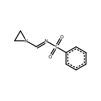 O=S(=O)(N=CN1CC1)c1ccccc1